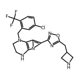 FC(F)(F)c1ccc(Cl)cc1CN1CCNc2c1c1c(-c3noc(CC4CNC4)n3)n2-1